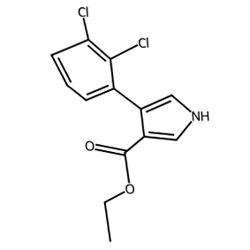 CCOC(=O)c1c[nH]cc1-c1cccc(Cl)c1Cl